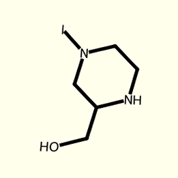 OCC1CN(I)CCN1